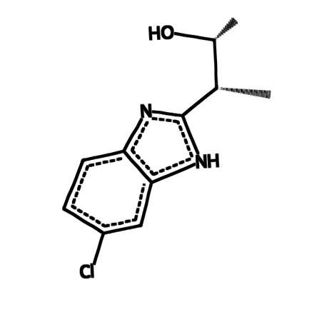 C[C@H](c1nc2ccc(Cl)cc2[nH]1)[C@@H](C)O